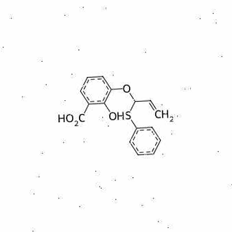 C=CC(Oc1cccc(C(=O)O)c1O)Sc1ccccc1